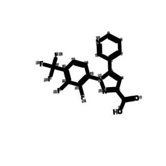 O=C(O)c1cc(-c2cccnc2)n(-c2ccc(C(F)(F)F)c(F)c2F)n1